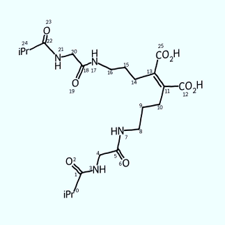 CC(C)C(=O)NCC(=O)NCCCC(C(=O)O)=C(CCCNC(=O)CNC(=O)C(C)C)C(=O)O